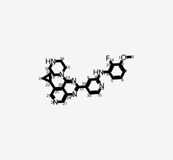 COc1cccc(Nc2cc(-c3nc(N4CCNCC4)c4c(C5CC5)cncc4n3)ccn2)c1F